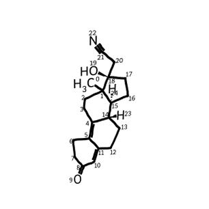 CC12CCC3=C4CCC(=O)C=C4CC[C@H]3[C@@H]1CC[C@@]2(O)CC#N